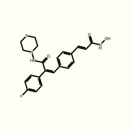 O=C(C=Cc1ccc(C=C(C(=O)NN2CCSCC2)c2ccc(F)cc2)cc1)NO